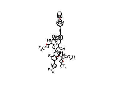 COC(=O)N[C@H](C(=O)N[C@@H](Cc1ccc(C#Cc2cnc(N3CC4CCC(C3)N4C3COC3)nc2)cc1)[C@@H](O)CN(Cc1c(F)cc(-c2ccn(C(F)F)n2)cc1F)NC(=O)[C@@H](NC(=O)O)C12CC(C(F)(F)F)(C1)C2)C12CC(C(F)(F)F)(C1)C2